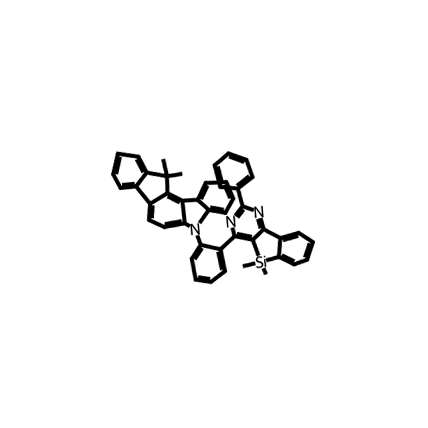 CC1(C)c2ccccc2-c2ccc3c(c21)c1ccccc1n3-c1ccccc1-c1nc(-c2ccccc2)nc2c1[Si](C)(C)c1ccccc1-2